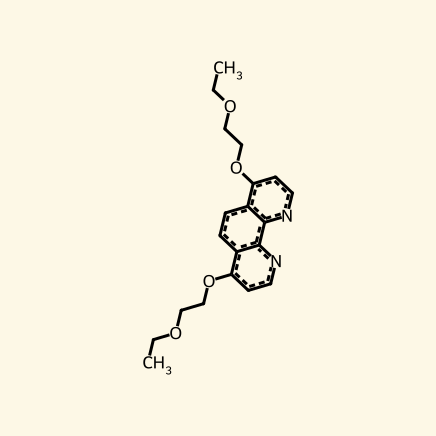 CCOCCOc1ccnc2c1ccc1c(OCCOCC)ccnc12